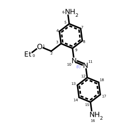 CCOCc1cc(N)ccc1/N=N/c1ccc(N)cc1